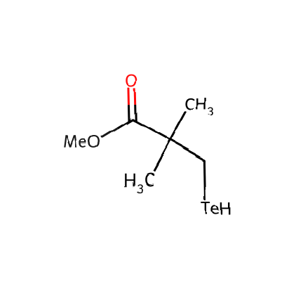 COC(=O)C(C)(C)C[TeH]